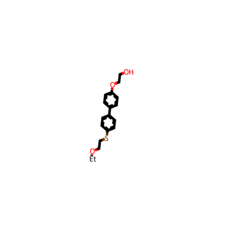 CCOCCSc1ccc(-c2ccc(OCCO)cc2)cc1